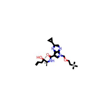 C=CC[C@@](C)(O)[C@H](C)NC(=O)c1cn(COCC[Si](C)(C)C)c2ncc(C3CC3)nc12